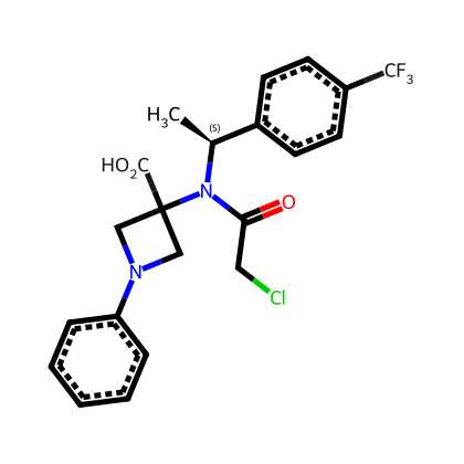 C[C@@H](c1ccc(C(F)(F)F)cc1)N(C(=O)CCl)C1(C(=O)O)CN(c2ccccc2)C1